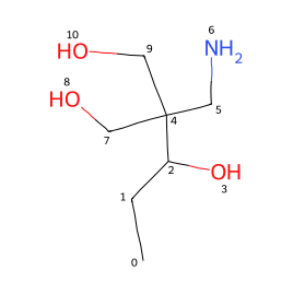 CCC(O)C(CN)(CO)CO